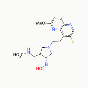 COc1ccc2ncc(F)c(CCN3CC(=NO)C(CNC(=O)O)C3)c2n1